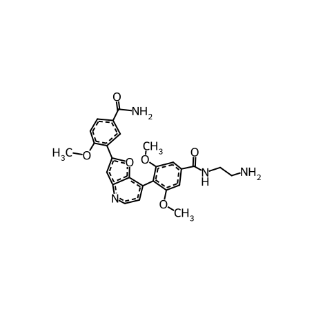 COc1ccc(C(N)=O)cc1-c1cc2nccc(-c3c(OC)cc(C(=O)NCCN)cc3OC)c2o1